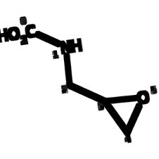 O=C(O)NCC1CO1